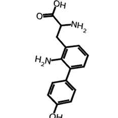 Nc1c(CC(N)C(=O)O)cccc1-c1ccc(O)cc1